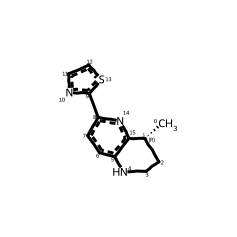 C[C@@H]1CCNc2ccc(-c3nccs3)nc21